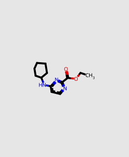 CCOC(=O)c1nccc(NC2CCCCC2)n1